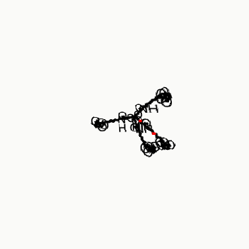 O=C(CCOCC(COCCC(=O)NCCCCCCCC(=O)ON1C(=O)CCC1=O)(COCCC(=O)NCCCCCCCC(=O)ON1C(=O)CCC1=O)COCCC(=O)NCCCCCCCC(=O)ON1C(=O)CCC1=O)NCCCCCCCC(=O)ON1C(=O)CCC1=O